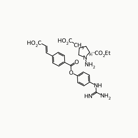 CC(=O)O.CCOC(=O)[C@H]1CCCN1N.N=C(N)Nc1ccc(OC(=O)c2ccc(C=CC(=O)O)cc2)cc1